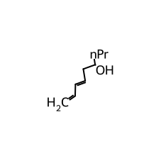 C=CC=CCC(O)CCC